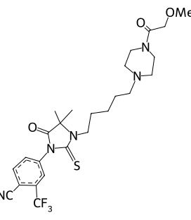 COCC(=O)N1CCN(CCCCCN2C(=S)N(c3ccc(C#N)c(C(F)(F)F)c3)C(=O)C2(C)C)CC1